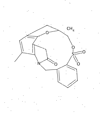 C.Cc1cc2c3c4c1N(Cc1ccccc1S(=O)(=O)OCC(C2)O3)C(=O)C4